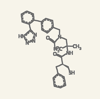 CCCC(=O)N(Cc1ccc(-c2ccccc2-c2nnn[nH]2)cc1)CC(C)(C)NC(=O)[C@@H](CS)Cc1ccccc1